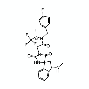 CNC1CC2(NC(=O)N(CC(=O)N(Cc3ccc(F)cc3)[C@@H](C)C(F)(F)F)C2=O)c2ccccc21